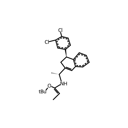 CC=C(N[C@H](C)C1=Cc2ccccc2[C@H](c2ccc(Cl)c(Cl)c2)C1)OC(C)(C)C